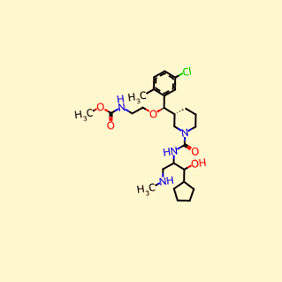 CNCC(NC(=O)N1CCC[C@@H]([C@@H](OCCNC(=O)OC)c2cc(Cl)ccc2C)C1)C(O)C1CCCC1